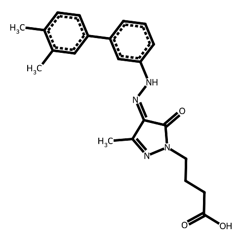 CC1=NN(CCCC(=O)O)C(=O)/C1=N\Nc1cccc(-c2ccc(C)c(C)c2)c1